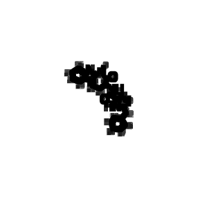 CN1C(=O)C(NC(=O)c2nnc(Cc3ccccc3)[nH]2)CCn2c1nc1ccccc12